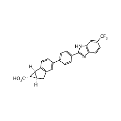 O=C(O)[C@H]1[C@@H]2Cc3cc(-c4ccc(-c5nc6ccc(C(F)(F)F)cc6[nH]5)cc4)ccc3[C@@H]21